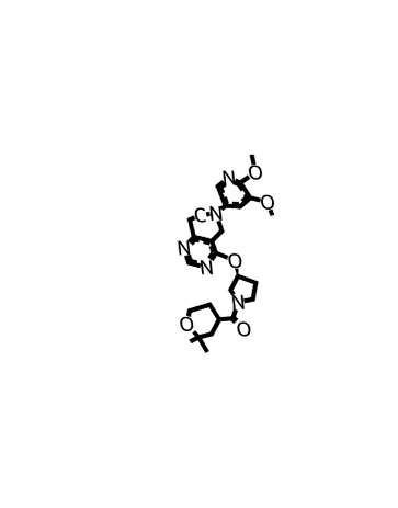 COc1cc(N2CCc3ncnc(O[C@H]4CCN(C(=O)C5CCOC(C)(C)C5)C4)c3C2)cnc1OC